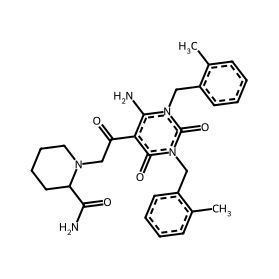 Cc1ccccc1Cn1c(N)c(C(=O)CN2CCCCC2C(N)=O)c(=O)n(Cc2ccccc2C)c1=O